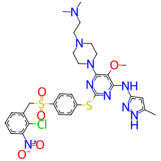 COc1c(Nc2cc(C)[nH]n2)nc(Sc2ccc(S(=O)(=O)Cc3cccc([N+](=O)[O-])c3Cl)cc2)nc1N1CCN(CCN(C)C)CC1